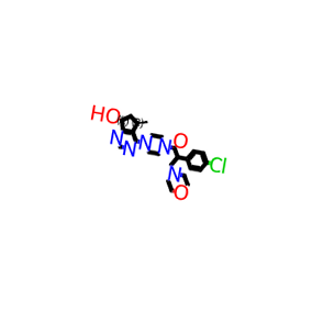 C[C@@H]1C[C@@H](O)c2ncnc(N3CCN(C(=O)C(CN4CCOCC4)c4ccc(Cl)cc4)CC3)c21